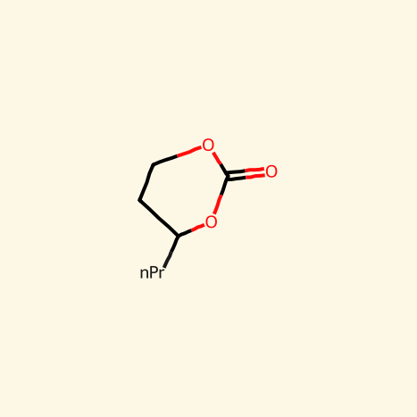 CCCC1CCOC(=O)O1